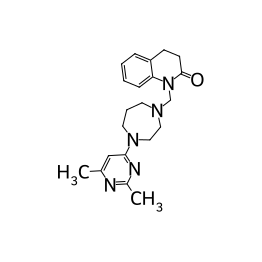 Cc1cc(N2CCCN(CN3C(=O)CCc4ccccc43)CC2)nc(C)n1